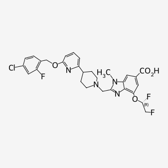 Cn1c(CN2CCC(c3cccc(OCc4ccc(Cl)cc4F)n3)CC2)nc2c(O[C@H](F)CF)cc(C(=O)O)cc21